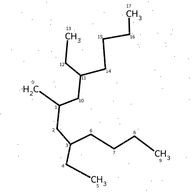 [CH2]C(CC(CC)CCCC)CC(CC)CCCC